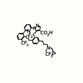 O=C(O)c1cnn(-c2cccc(-c3cccc(C(F)(F)F)c3OCc3ccc(CCCN(CC4CC4)CC(F)(F)F)cc3)n2)c1C(F)(F)F